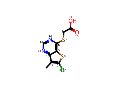 Cc1c(Br)sc2c(SCC(=O)O)ncnc12